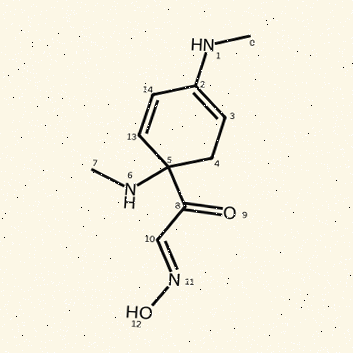 CNC1=CCC(NC)(C(=O)C=NO)C=C1